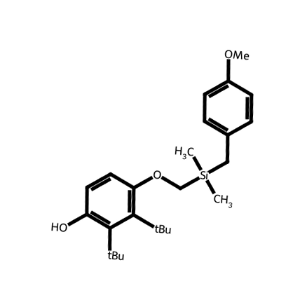 COc1ccc(C[Si](C)(C)COc2ccc(O)c(C(C)(C)C)c2C(C)(C)C)cc1